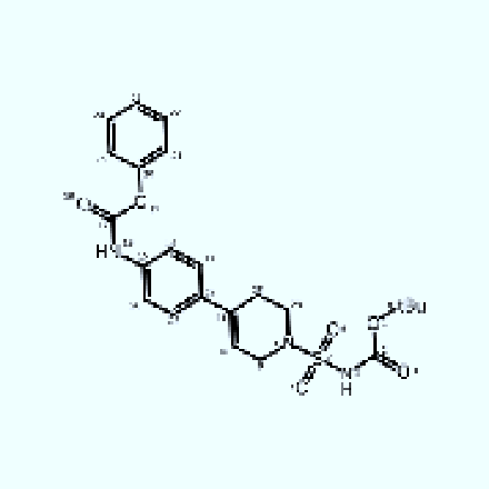 CC(C)(C)OC(=O)NS(=O)(=O)N1CC=C(c2ccc(NC(=O)Oc3ccccc3)cc2)CC1